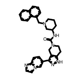 O=C(NC1CCCN(Cc2cccc3ccccc23)C1)N1CCc2[nH]nc(-c3ccc4nccn4c3)c2C1